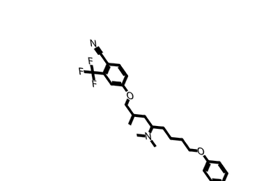 CC(COc1ccc(C#N)c(C(F)(F)F)c1)CC(CCCCOc1ccccc1)N(C)C